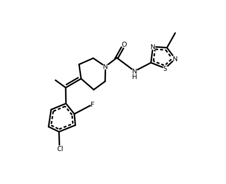 CC(=C1CCN(C(=O)Nc2nc(C)ns2)CC1)c1ccc(Cl)cc1F